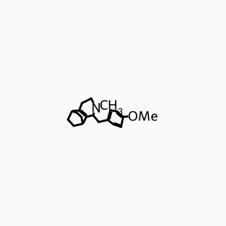 COc1ccc(CC2C3=C(CCN2C)C2CCC3CC2)cc1